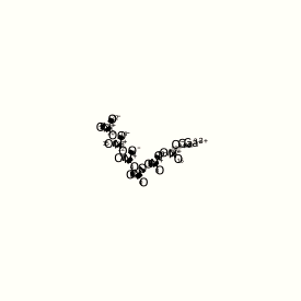 O=[N+]([O-])[O-].O=[N+]([O-])[O-].O=[N+]([O-])[O-].O=[N+]([O-])[O-].O=[N+]([O-])[O-].O=[N+]([O-])[O-].[Ga+3].[Ga+3]